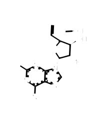 C=C[C@]1(CO)O[C@@H](n2cnc3c(N)nc(F)nc32)[C@@H](F)[C@@H]1O